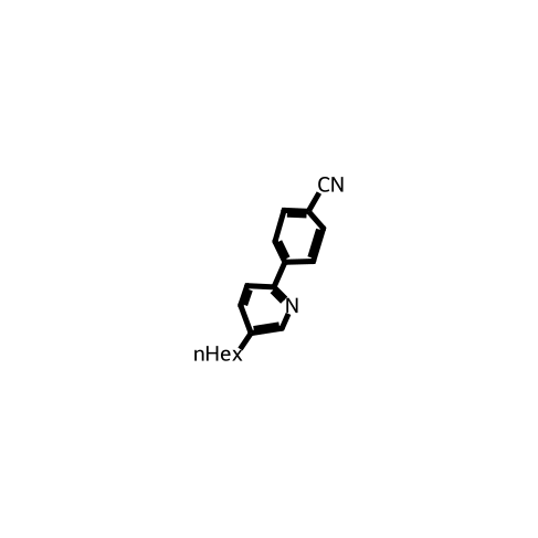 CCCCCCc1ccc(-c2ccc(C#N)cc2)nc1